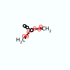 C=CC(=O)OCCOc1ccc(OCCOC(=O)C=C)c(C2CC3C4CCC(C4)C3C2)c1